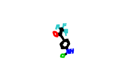 O=C(c1ccc(NCl)cc1)C(F)(F)F